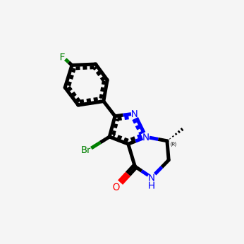 C[C@@H]1CNC(=O)c2c(Br)c(-c3ccc(F)cc3)nn21